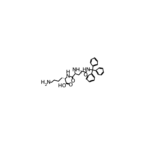 NCCCC[C@H](NC(=O)[C@@H](N)CCC(=O)NC(c1ccccc1)(c1ccccc1)c1ccccc1)C(=O)O